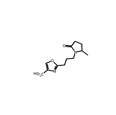 CC1CCC(=O)N1CCCc1nc(C(=O)O)co1